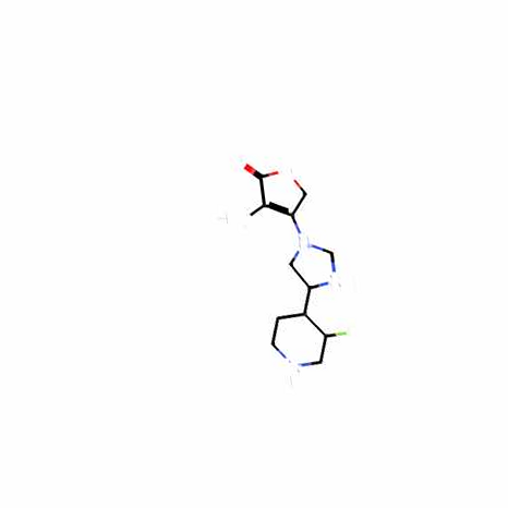 CC1=C(N2CNC(C3CCNCC3F)C2)COC1=O